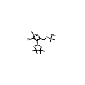 CCc1c(B2OC(C)(C)C(C)(C)O2)c(CO[Si](C)(C)C(C)(C)C)nn1C